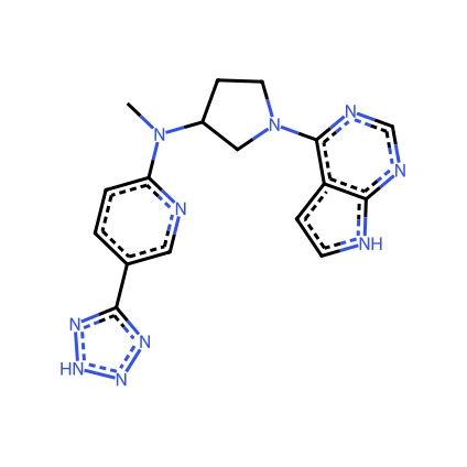 CN(c1ccc(-c2nn[nH]n2)cn1)C1CCN(c2ncnc3[nH]ccc23)C1